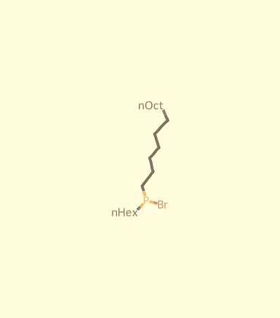 CCCCCCCCCCCCCCP(Br)CCCCCC